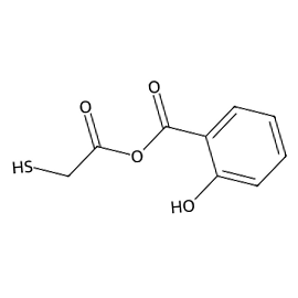 O=C(CS)OC(=O)c1ccccc1O